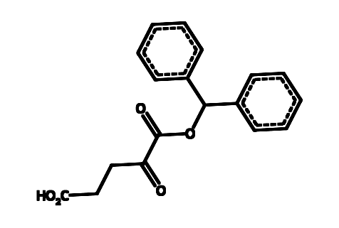 O=C(O)CCC(=O)C(=O)OC(c1ccccc1)c1ccccc1